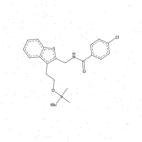 CC(C)(C)[Si](C)(C)OCCc1c(CNC(=O)c2ccc(Cl)cc2)sc2ccccc12